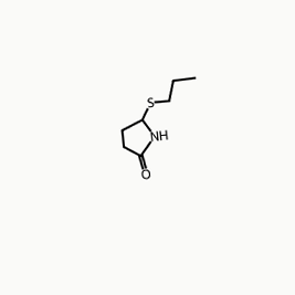 CCCSC1CCC(=O)N1